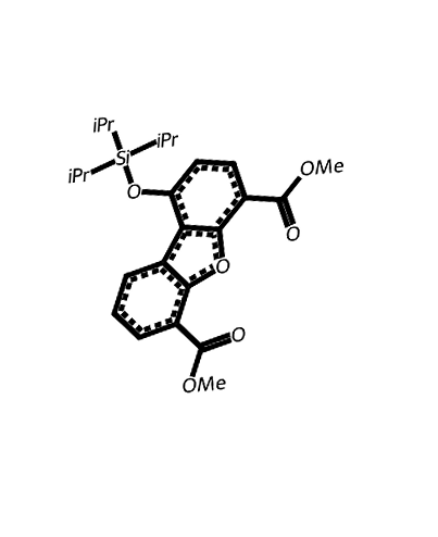 COC(=O)c1cccc2c1oc1c(C(=O)OC)ccc(O[Si](C(C)C)(C(C)C)C(C)C)c12